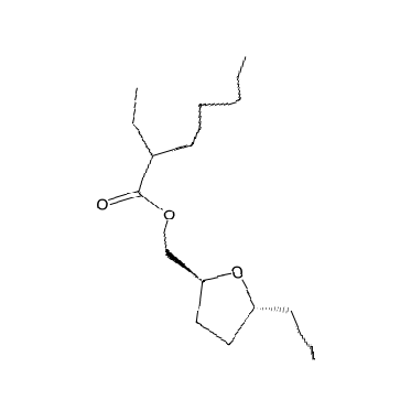 CCCCC(CC)C(=O)OC[C@@H]1CC[C@@H](CI)O1